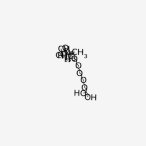 CCC(C)(C)C(=O)NCC(C)(C)COCCOCCOCCOCCOCC(O)CO